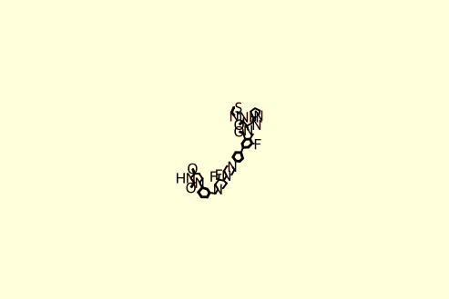 O=C1CCN(c2cccc(CN3CCC(N4CCN(c5ccc(-c6cc(F)c7c(c6)C(=O)N(C(C(=O)Nc6nccs6)c6ncn8c6CCC8)C7)cc5)CC4)C(F)(F)C3)c2)C(=O)N1